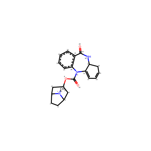 CN1C2CCC1CC(OC(=O)N1C3=CC=CCC3NC(=O)c3ccccc31)C2